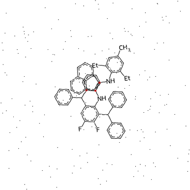 CCc1cc(C)cc(CC)c1NC1=C(Nc2c(C(c3ccccc3)c3ccccc3)cc(F)c(F)c2C(c2ccccc2)c2ccccc2)c2cccc3cccc1c23